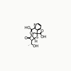 C[C@@H](O)[C@H]1C(=O)N2CC(C(=O)O)(c3cccnc3C(=O)O)S[C@H]12